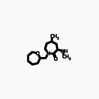 CNC1CC(C)CCN(CC2CCCCCO2)C1=O